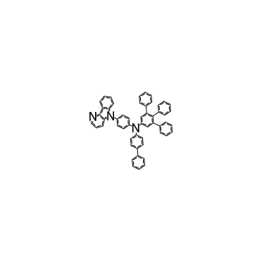 c1ccc(-c2ccc(N(c3ccc(-n4c5ccccc5c5ncccc54)cc3)c3cc(-c4ccccc4)c(-c4ccccc4)c(-c4ccccc4)c3)cc2)cc1